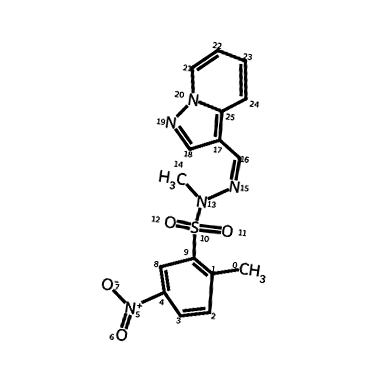 Cc1ccc([N+](=O)[O-])cc1S(=O)(=O)N(C)/N=C\c1cnn2ccccc12